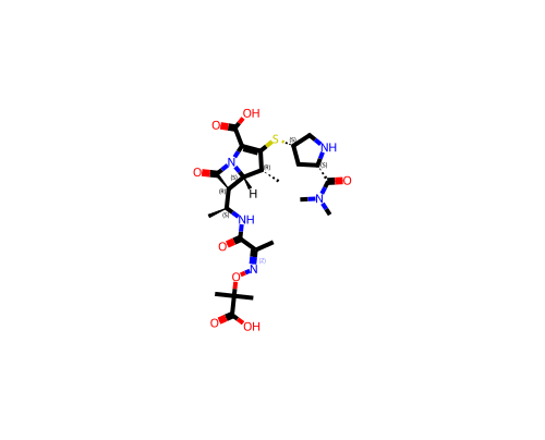 C/C(=N/OC(C)(C)C(=O)O)C(=O)N[C@@H](C)[C@H]1C(=O)N2C(C(=O)O)=C(S[C@@H]3CN[C@H](C(=O)N(C)C)C3)[C@H](C)[C@H]12